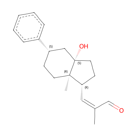 CC(C=O)=C[C@H]1CC[C@]2(O)C[C@@H](c3ccccc3)CC[C@]12C